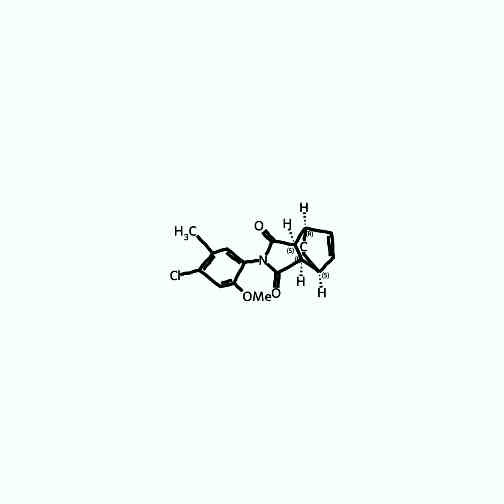 COc1cc(Cl)c(C)cc1N1C(=O)[C@@H]2[C@H](C1=O)[C@@H]1C=C[C@H]2CC1